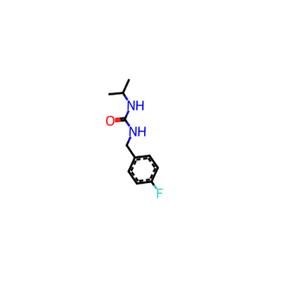 CC(C)NC(=O)NCc1ccc(F)cc1